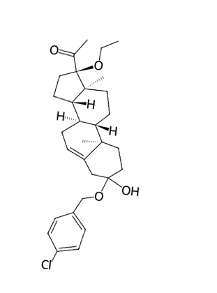 CCO[C@]1(C(C)=O)CC[C@H]2[C@@H]3CC=C4CC(O)(OCc5ccc(Cl)cc5)CC[C@]4(C)[C@H]3CC[C@@]21C